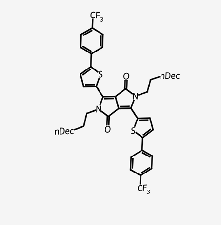 CCCCCCCCCCCCN1C(=O)C2=C(c3ccc(-c4ccc(C(F)(F)F)cc4)s3)N(CCCCCCCCCCCC)C(=O)C2=C1c1ccc(-c2ccc(C(F)(F)F)cc2)s1